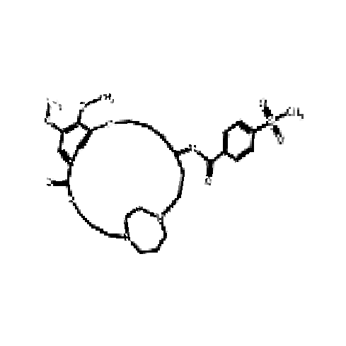 COc1cc2cc(c1OC)OCCCC(OC(=O)c1ccc(S(C)(=O)=O)cc1)CCN1CCCN(CCCOC2=O)CC1